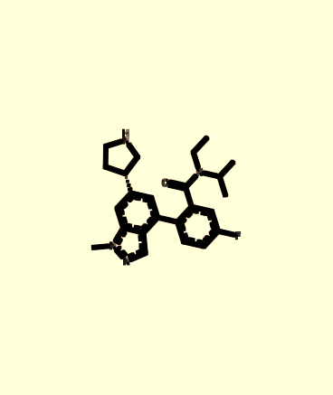 CCN(C(=O)c1cc(F)ccc1-c1cc([C@@H]2CCNC2)cc2c1cnn2C)C(C)C